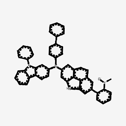 C[S+]([O-])c1ccccc1-c1cc2ccc3cc(N(c4ccc(-c5ccccc5)cc4)c4ccc5c6ccccc6n(-c6ccccc6)c5c4)cc4[nH]c(c1)c2c34